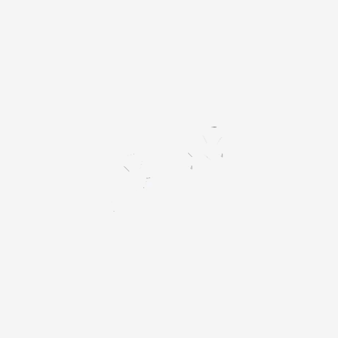 Cc1[nH]c2ccccc2c1C(=O)N[C@H]1CC[C@H](/C(=N/OCC2CC2)c2ccccc2)CC1